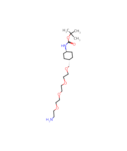 CC(C)(C)OC(=O)N[C@H]1CC[C@H](COCCOCCOCCOCCN)CC1